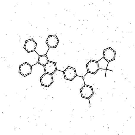 CC1(C)c2ccccc2-c2ccc(N(c3ccc(F)cc3)c3ccc(-c4cc5c(-c6ccccc6)c(-c6ccccc6)n(-c6ccccc6)c5c5ccccc45)cc3)cc21